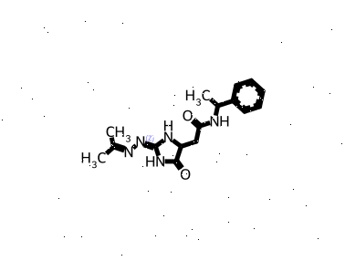 CC(C)=N/N=C1\NC(=O)C(CC(=O)NC(C)c2ccccc2)N1